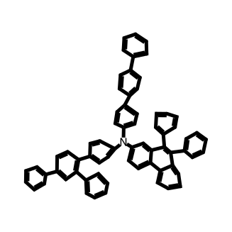 c1ccc(-c2ccc(-c3ccc(N(c4ccc(-c5ccc(-c6ccccc6)cc5-c5ccccc5)cc4)c4ccc5c(c4)c(-c4ccccc4)c(-c4ccccc4)c4ccccc45)cc3)cc2)cc1